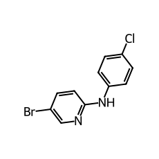 Clc1ccc(Nc2ccc(Br)cn2)cc1